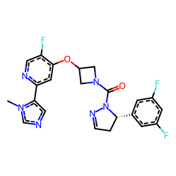 Cn1cncc1-c1cc(OC2CN(C(=O)N3N=CC[C@H]3c3cc(F)cc(F)c3)C2)c(F)cn1